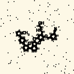 CN1CCCC1c1ccc(-c2cccc(-c3cccc4c3CC[C@@H]4Oc3nc(OCc4cncc(C#N)c4)c(CNCCO)cc3Cl)c2Cl)cc1